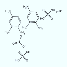 Cc1cc(N)ccc1N.Cc1cc(N)ccc1N.O=C([O-])[O-].O=S(=O)(O)O.O=S(=O)(O)O.[K+].[K+]